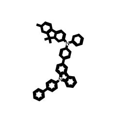 CC1C=CC2=C(C1)C(C)(C)C1CC(N(C3=CC=CCC3)C3C=CC(c4ccc5c(c4)c4ccccc4n5-c4ccc(-c5ccccc5)cc4)=CC3)=CC=C21